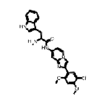 COc1cc(OC)c(-c2cn3ccc(NC(=O)C(N)Cc4c[nH]c5ccccc45)cc3n2)cc1Cl